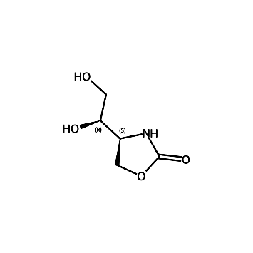 O=C1N[C@H]([C@@H](O)CO)CO1